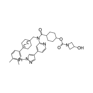 Cc1ccc(C23CCC(CN(C(=O)C4CCC(OC(=O)N5CC(O)C5)CC4)c4cc(-c5cnn(C(C)C)c5)ccn4)(CC2)CC3)cc1C